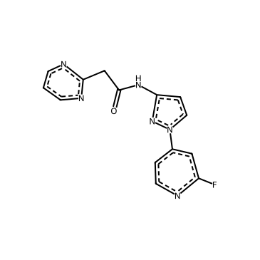 O=C(Cc1ncccn1)Nc1ccn(-c2ccnc(F)c2)n1